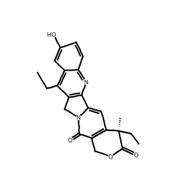 CCc1c2c(nc3ccc(O)cc13)-c1cc3c(c(=O)n1C2)COC(=O)[C@]3(C)CC